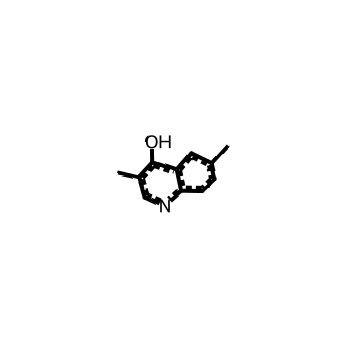 Cc1ccc2ncc(C)c(O)c2c1